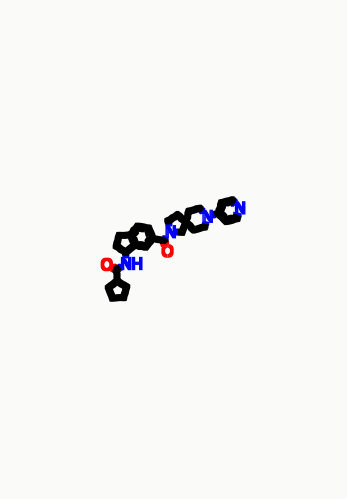 O=C(NC1CCc2ccc(C(=O)N3CCC4(CCN(c5ccncc5)CC4)C3)cc21)C1CCCC1